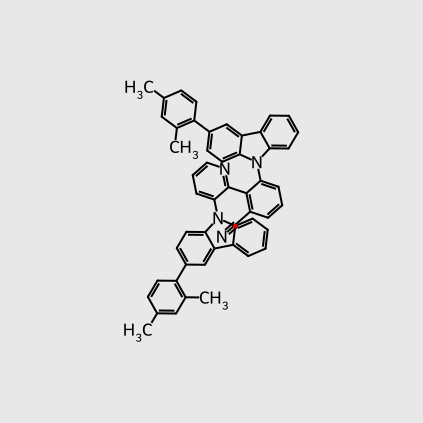 Cc1ccc(-c2ccc3c(c2)c2ccccc2n3-c2cccnc2-c2c(C#N)cccc2-n2c3ccccc3c3cc(-c4ccc(C)cc4C)ccc32)c(C)c1